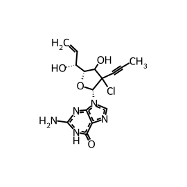 C=C[C@@H](O)[C@H]1O[C@@H](n2cnc3c(=O)[nH]c(N)nc32)C(Cl)(C#CC)C1O